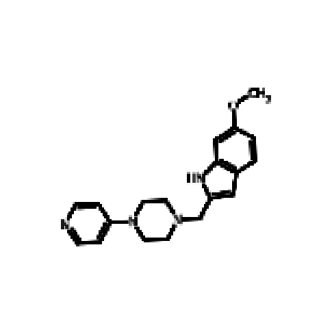 COc1ccc2cc(CN3CCN(c4ccncc4)CC3)[nH]c2c1